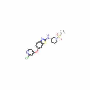 CCS(=O)(=O)N1CCC[C@H](Nc2nc3ccc(Oc4ccnc(Cl)c4)cc3s2)C1